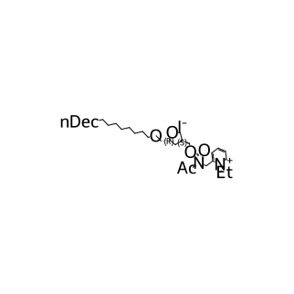 CCCCCCCCCCCCCCCCCCOC[C@H]1C[C@H](COC(=O)N(Cc2cccc[n+]2CC)C(C)=O)CO1.[I-]